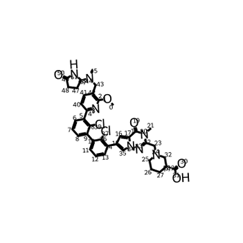 COc1nc(-c2cccc(-c3cccc(-c4cc5c(=O)n(C)c(CN6CCC[C@H](C(=O)O)C6)nn5c4)c3Cl)c2Cl)ccc1CN(C)[C@H]1CCC(=O)N1